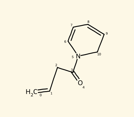 C=CCC(=O)N1C=CC=CC1